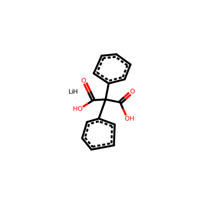 O=C(O)C(C(=O)O)(c1ccccc1)c1ccccc1.[LiH]